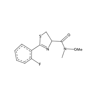 CON(C)C(=O)C1CSC(c2ccccc2F)=N1